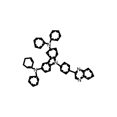 C1=CC(N(c2ccccc2)c2ccc3c(c2)c2cc(N(c4ccccc4)c4ccccc4)ccc2n3-c2ccc(-c3cnc4ccccc4n3)cc2)=CCC1